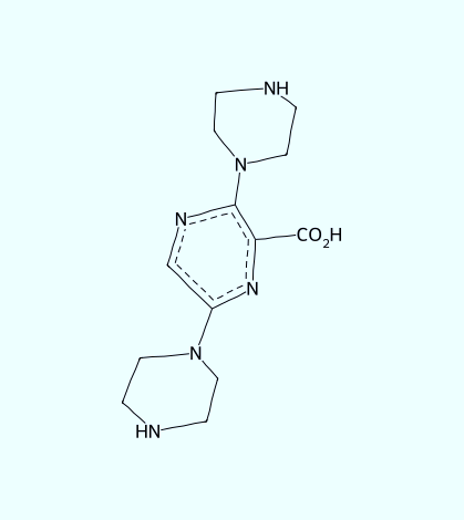 O=C(O)c1nc(N2CCNCC2)cnc1N1CCNCC1